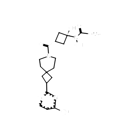 COC(=O)N(C)[C@]1(C)C[C@H](C(=O)N2CCC3(CC2)CC(c2cccc(C(C)(C)C)n2)C3)C1